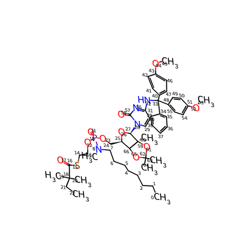 CCCCCCCCN(C)P(=O)(OCCSC(=O)C(C)(C)CC)OC[C@H]1O[C@@H](n2ccc(NC(c3ccccc3)(c3ccc(OC)cc3)c3ccc(OC)cc3)nc2=O)[C@@]2(C)OC(C)(C)OC12